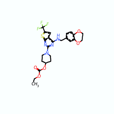 CCOC(=O)OC1CCN(c2nc(NCc3ccc4c(c3)OCCO4)c3cc(C(F)(F)F)sc3n2)CC1